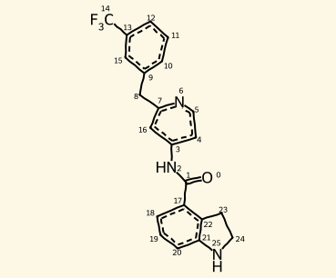 O=C(Nc1ccnc(Cc2cccc(C(F)(F)F)c2)c1)c1cccc2c1CCN2